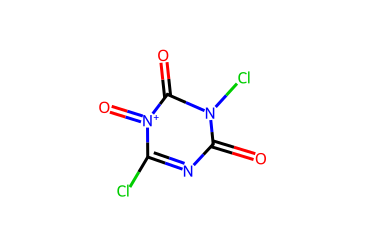 O=C1N=C(Cl)[N+](=O)C(=O)N1Cl